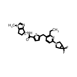 CCc1nc(N2CC3C(C2)C3(F)F)ccc1Cc1ccc(C(=O)N[C@@H]2CCc3c2ncn3C)s1